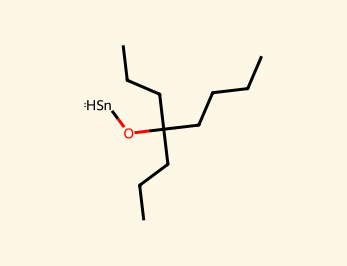 CCCCC(CCC)(CCC)[O][SnH]